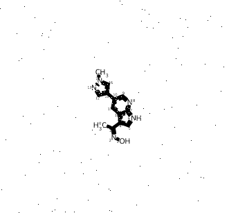 C/C(=N/O)c1c[nH]c2ncc(-c3cnn(C)c3)cc12